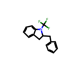 FC(F)(F)N1c2ccccc2CC1Cc1ccccc1